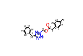 Cc1ccc(CC(=O)OCn2nnc(Cc3ccccc3)n2)cc1